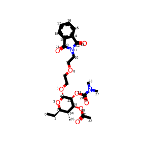 CC[C@H]1O[C@H](OCCOCCN2C(=O)c3ccccc3C2=O)[C@@H](OC(=O)N(C)C)[C@@H](OC(C)=O)[C@@H]1C